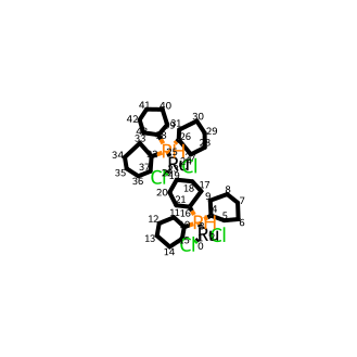 [Cl][Ru]([Cl])[PH](C1CCCCC1)(C1CCCCC1)C1CCCCC1.[Cl][Ru]([Cl])[PH](C1CCCCC1)(C1CCCCC1)C1CCCCC1